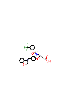 O=C(O)CC[C@H]1CN(S(=O)(=O)c2cccc(C(F)(F)F)c2)c2cc(/C=C3\CCOc4ccccc43)ccc2O1